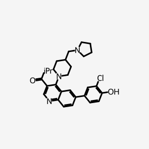 CC(C)C(=O)c1cnc2ccc(-c3ccc(O)c(Cl)c3)cc2c1N1CCC(CN2CCCC2)CC1